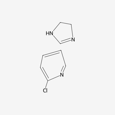 C1=NCCN1.Clc1ccccn1